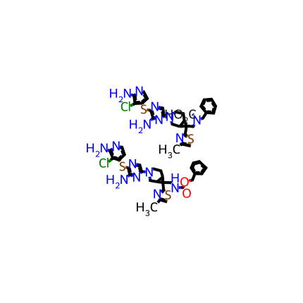 Cc1csc(C2(CN(Cc3ccccc3)C(=O)O)C3CCN(c4cnc(Sc5ccnc(N)c5Cl)c(N)n4)CC32)n1.Cc1csc(C2(CNC(=O)OCc3ccccc3)C3CCN(c4cnc(Sc5ccnc(N)c5Cl)c(N)n4)CC32)n1